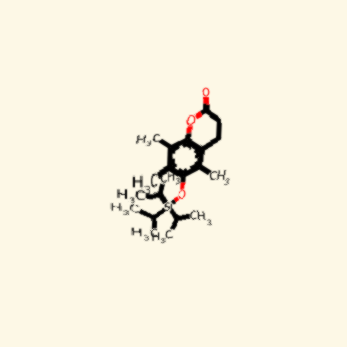 Cc1c(C)c2c(c(C)c1O[Si](C(C)C)(C(C)C)C(C)C)CCC(=O)O2